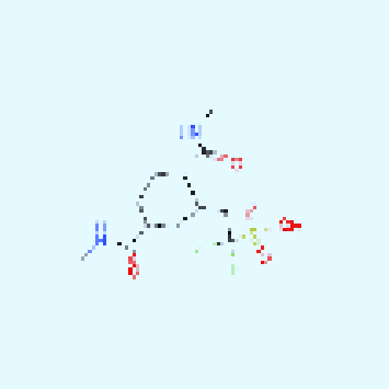 CNC(=O)C1CCC(C(=O)NC)C(CC(F)(F)S(=O)(=O)O)C1